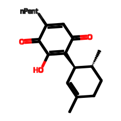 CCCCCC1=CC(=O)C([C@@H]2C=C(C)CC[C@H]2C)=C(O)C1=O